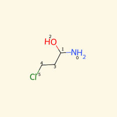 NC(O)CCCl